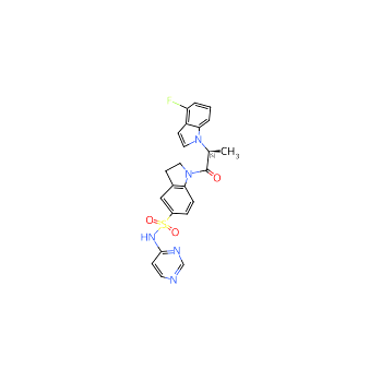 C[C@@H](C(=O)N1CCc2cc(S(=O)(=O)Nc3ccncn3)ccc21)n1ccc2c(F)cccc21